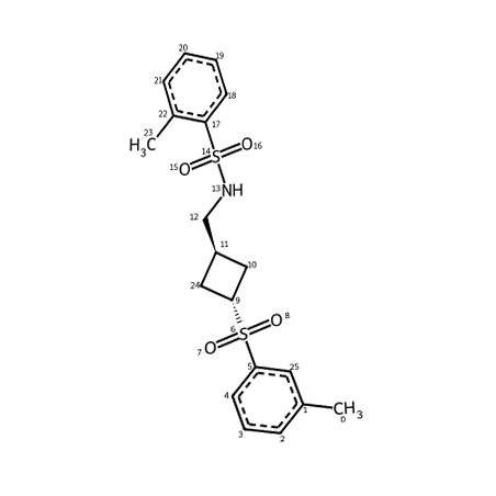 Cc1cccc(S(=O)(=O)[C@H]2C[C@H](CNS(=O)(=O)c3ccccc3C)C2)c1